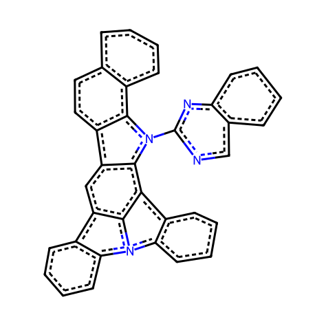 c1ccc2nc(-n3c4c5ccccc5ccc4c4cc5c6ccccc6n6c7ccccc7c(c43)c56)ncc2c1